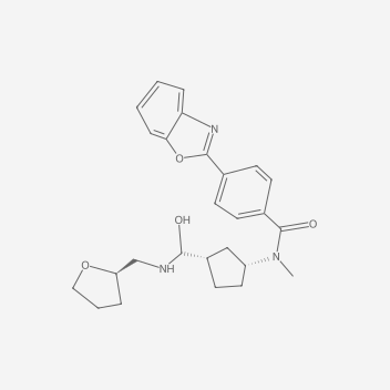 CN(C(=O)c1ccc(-c2nc3ccccc3o2)cc1)[C@@H]1CC[C@H](C(O)NC[C@H]2CCCO2)C1